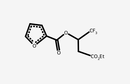 CCOC(=O)CC(OC(=O)c1ccco1)C(F)(F)F